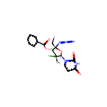 C[C@]1(F)[C@H](n2ccc(=O)[nH]c2=O)O[C@@](CI)(N=[N+]=[N-])[C@H]1OC(=O)c1ccccc1